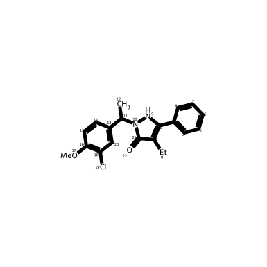 CCc1c(-c2ccccc2)[nH]n(C(C)c2ccc(OC)c(Cl)c2)c1=O